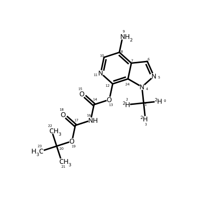 [2H]C([2H])([2H])n1ncc2c(N)cnc(OC(=O)NC(=O)OC(C)(C)C)c21